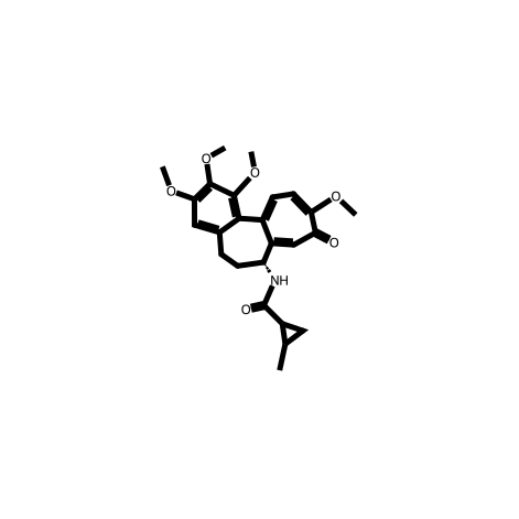 COc1cc2c(c(OC)c1OC)-c1ccc(OC)c(=O)cc1[C@H](NC(=O)C1CC1C)CC2